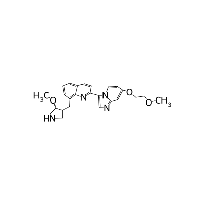 COCCOc1ccn2c(-c3ccc4cccc(CC5CNC[C@H]5OC)c4n3)cnc2c1